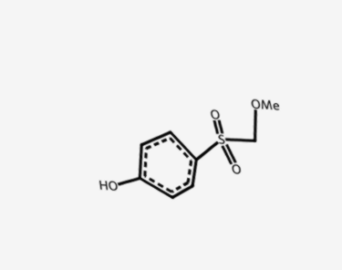 COCS(=O)(=O)c1ccc(O)cc1